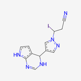 N#CCC(I)n1cc(C2NC=Nc3[nH]ccc32)cn1